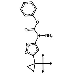 NN(C(=O)Oc1ccccc1)c1cc(C2(C(F)(F)F)CC2)on1